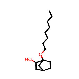 CCCCCCCCOC12CCC(CC1O)C2